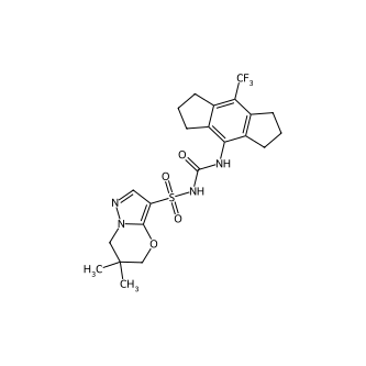 CC1(C)COc2c(S(=O)(=O)NC(=O)Nc3c4c(c(C(F)(F)F)c5c3CCC5)CCC4)cnn2C1